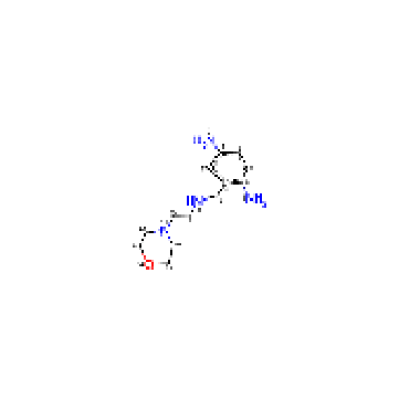 Nc1ccc(N)c(CNCCN2CCOCC2)c1